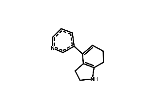 C1=C(c2cccnc2)C2=C(CC1)NCC2